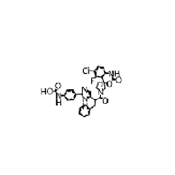 O=C(O)Nc1ccc(-c2ncc(C(Cc3ccccc3)C(=O)N3CC[C@@]4(C3)OC(=O)Nc3ccc(Cl)c(F)c34)[nH]2)cc1